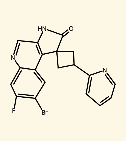 O=C1Nc2cnc3cc(F)c(Br)cc3c2C12CC(c1ccccn1)C2